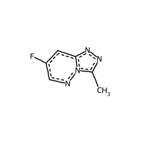 Cc1nnc2cc(F)cnn12